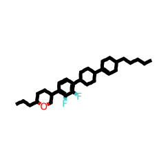 CCCCCC1CC=C(C2CCC(c3ccc(C4CCC(CCC)OC4)c(F)c3F)CC2)CC1